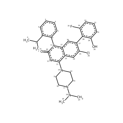 CC(C)c1ccccc1-n1c(=O)nc(N2CCN(N(C)C)CC2)c2cc(Cl)c(-c3c(O)cccc3F)cc21